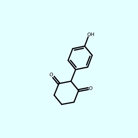 O=C1CCCC(=O)C1c1ccc(O)cc1